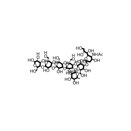 CC(=O)N[C@H]1[C@H](O[C@H]2[C@@H](O)[C@@H](CO)O[C@H](O[C@H]3[C@@H](O)[C@@H](CO)O[C@@H](O[C@H]4[C@H](O)[C@@H](O)[C@H](O)O[C@@H]4CO)[C@@H]3O)[C@@H]2O)O[C@H](CO)[C@@H](O[C@@H]2O[C@H](CO)[C@H](O)[C@H](O[C@]3(C(=O)O)C[C@H](O)[C@@H](NC(C)=O)[C@H]([C@H](O)[C@H](O)CO)O3)[C@H]2O)[C@@H]1O[C@@H]1O[C@@H](C)[C@@H](O)[C@@H](O)[C@@H]1O